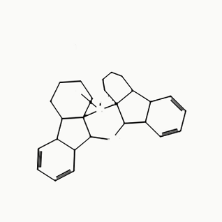 C[Si]1(C)C23CCCCC2C2C=CC=CC2[CH]3[Hf+2][CH]2C3C=CC=CC3C3CCCCC321.[Cl-].[Cl-]